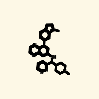 CN1CCC(C(Nc2cc(-c3ccc4ccn(C)c4c3)c3nccnc3c2)c2cccnn2)CC1